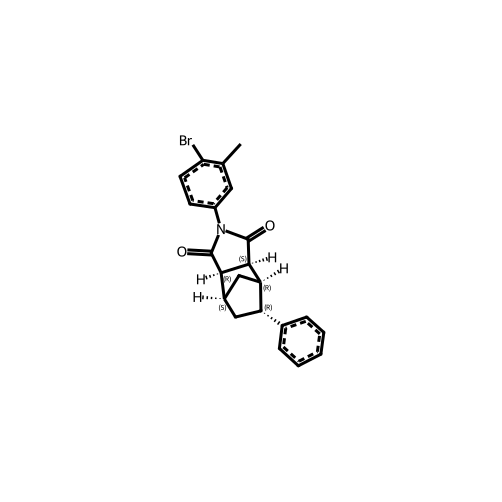 Cc1cc(N2C(=O)[C@@H]3[C@H]4C[C@@H]([C@@H]3C2=O)[C@H](c2ccccc2)C4)ccc1Br